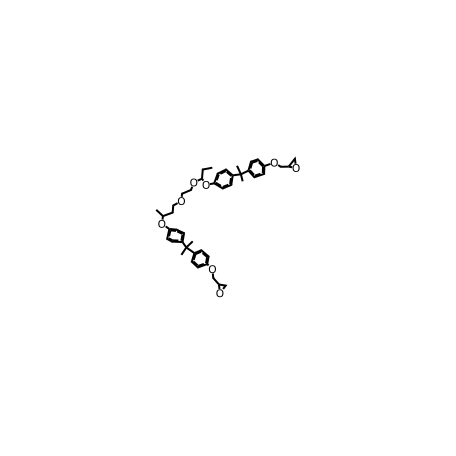 CCC(OCCOCCC(C)Oc1ccc(C(C)(C)c2ccc(OCC3CO3)cc2)cc1)Oc1ccc(C(C)(C)c2ccc(OCC3CO3)cc2)cc1